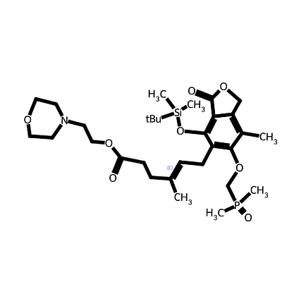 C/C(=C\Cc1c(OCP(C)(C)=O)c(C)c2c(c1O[Si](C)(C)C(C)(C)C)C(=O)OC2)CCC(=O)OCCN1CCOCC1